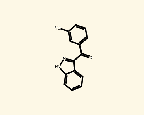 O=C(c1cccc(O)c1)c1n[nH]c2ccccc12